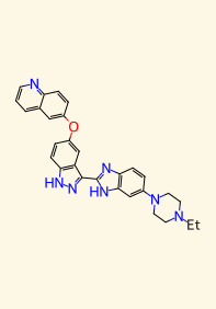 CCN1CCN(c2ccc3nc(-c4n[nH]c5ccc(Oc6ccc7ncccc7c6)cc45)[nH]c3c2)CC1